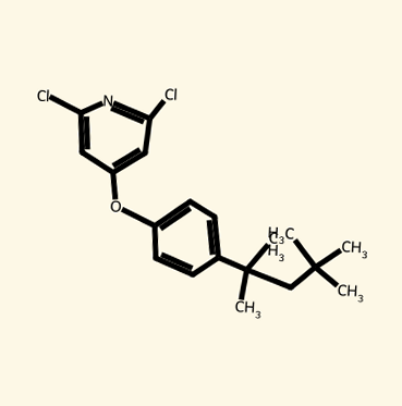 CC(C)(C)CC(C)(C)c1ccc(Oc2cc(Cl)nc(Cl)c2)cc1